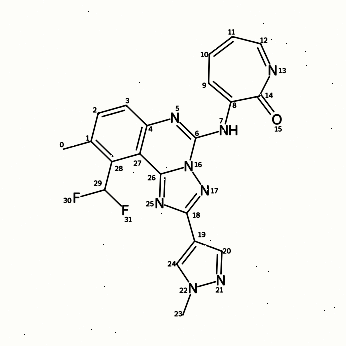 Cc1ccc2nc(Nc3ccccnc3=O)n3nc(-c4cnn(C)c4)nc3c2c1C(F)F